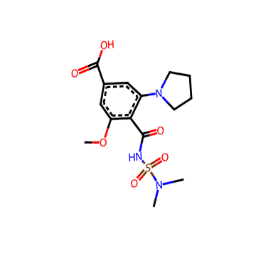 COc1cc(C(=O)O)cc(N2CCCC2)c1C(=O)NS(=O)(=O)N(C)C